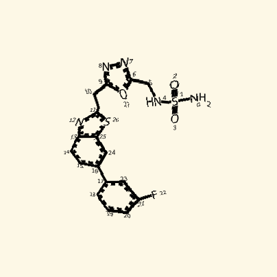 NS(=O)(=O)NCc1nnc(Cc2nc3ccc(-c4cccc(F)c4)cc3s2)o1